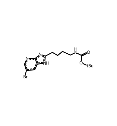 CC(C)(C)OC(=O)NCCCCc1nc2ncc(Br)cc2[nH]1